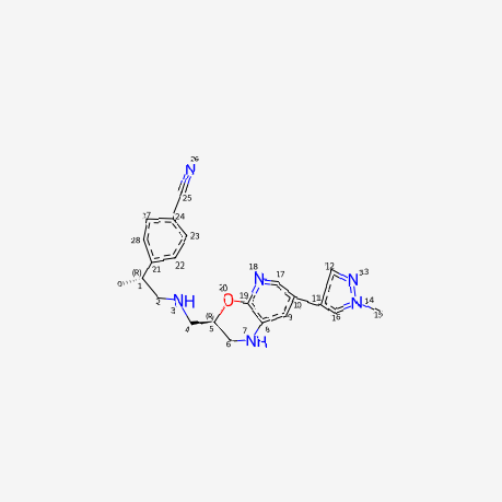 C[C@@H](CNC[C@@H]1CNc2cc(-c3cnn(C)c3)cnc2O1)c1ccc(C#N)cc1